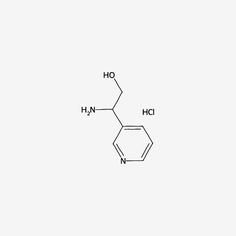 Cl.NC(CO)c1cccnc1